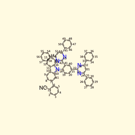 N#Cc1ccccc1-c1ccc2c3ccccc3n(-c3ccc(-c4nc(-c5ccccc5)cc(-c5ccccc5)n4)cc3-c3nc(-c4ccccc4)cc(-c4ccccc4)n3)c2c1